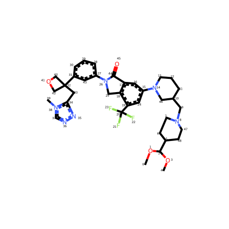 COC(OC)C1CCN(CC2CCCN(c3cc4c(c(C(F)(F)F)c3)CN(c3cccc(C5(Cc6nncn6C)COC5)c3)C4=O)C2)CC1